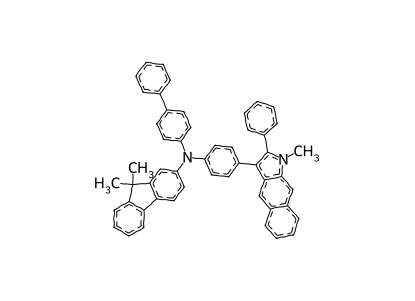 Cn1c(-c2ccccc2)c(-c2ccc(N(c3ccc(-c4ccccc4)cc3)c3ccc4c(c3)C(C)(C)c3ccccc3-4)cc2)c2cc3ccccc3cc21